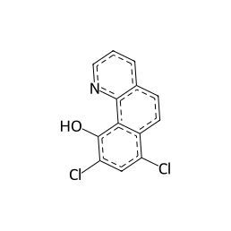 Oc1c(Cl)cc(Cl)c2ccc3cccnc3c12